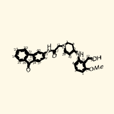 COc1cccc(NC2CCN(CC(=O)Nc3ccc4c(c3)-c3ccccc3C4=O)CC2)c1CO